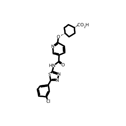 O=C(Nc1nnc(-c2cccc(Cl)c2)s1)c1ccc(O[C@H]2CC[C@@H](C(=O)O)CC2)nc1